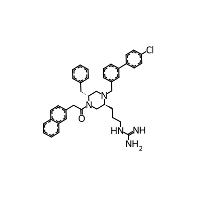 N=C(N)NCCC[C@H]1CN(C(=O)Cc2ccc3ccccc3c2)[C@H](Cc2ccccc2)CN1Cc1cccc(-c2ccc(Cl)cc2)c1